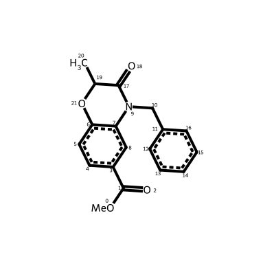 COC(=O)c1ccc2c(c1)N(Cc1ccccc1)C(=O)C(C)O2